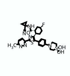 Cc1ccc(-c2nc([C@@H]3CC[C@H](F)C[C@H]3C(=O)NC3(C#N)CC3)c(-c3ccc(N4CCS(O)(O)CC4)cc3)s2)nn1